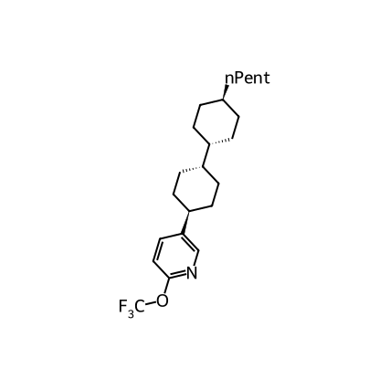 CCCCC[C@H]1CC[C@H]([C@H]2CC[C@H](c3ccc(OC(F)(F)F)nc3)CC2)CC1